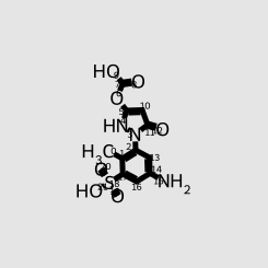 Cc1c(-n2[nH]c(OC(=O)O)cc2=O)cc(N)cc1S(=O)(=O)O